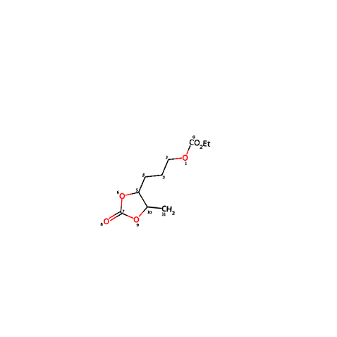 CCOC(=O)OCC[CH]C1OC(=O)OC1C